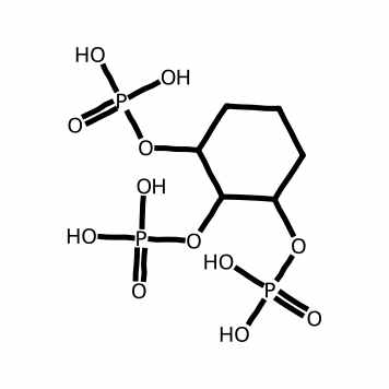 O=P(O)(O)OC1CCCC(OP(=O)(O)O)C1OP(=O)(O)O